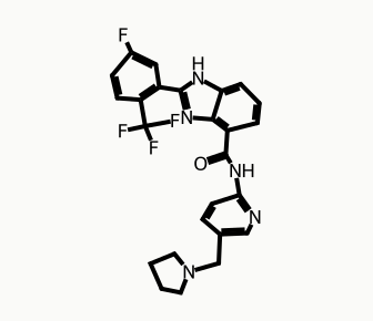 O=C(Nc1ccc(CN2CCCC2)cn1)c1cccc2[nH]c(-c3cc(F)ccc3C(F)(F)F)nc12